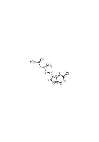 NC(=O)CC(N)COc1noc2ccc(Cl)cc12